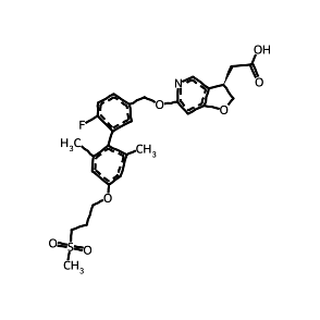 Cc1cc(OCCCS(C)(=O)=O)cc(C)c1-c1cc(COc2cc3c(cn2)[C@@H](CC(=O)O)CO3)ccc1F